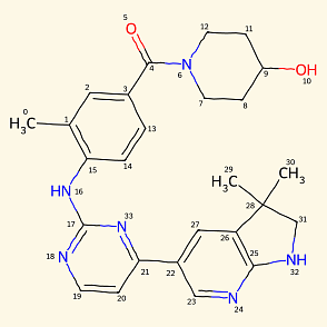 Cc1cc(C(=O)N2CCC(O)CC2)ccc1Nc1nccc(-c2cnc3c(c2)C(C)(C)CN3)n1